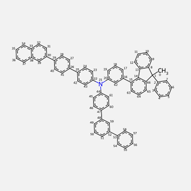 CC1(c2ccccc2)c2ccccc2-c2c(-c3cccc(N(c4ccc(-c5ccc(-c6ccc7ccccc7c6)cc5)cc4)c4ccc(-c5cccc(-c6ccccc6)c5)cc4)c3)cccc21